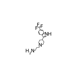 NCCCN1CCC(c2c[nH]c3cc(C(F)(F)F)ccc23)CC1